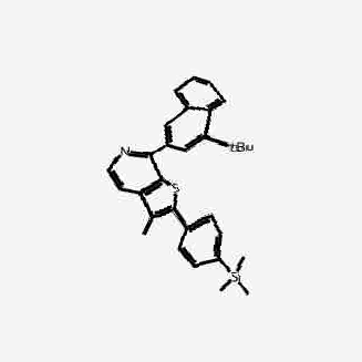 Cc1c(-c2ccc([Si](C)(C)C)cc2)sc2c(-c3cc(C(C)(C)C)c4ccccc4c3)nccc12